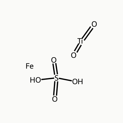 O=S(=O)(O)O.[Fe].[O]=[Ti]=[O]